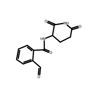 O=Cc1ccccc1C(=O)NC1CCC(=O)NC1=O